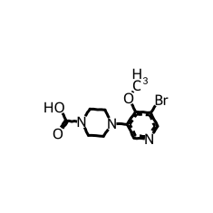 COc1c(Br)cncc1N1CCN(C(=O)O)CC1